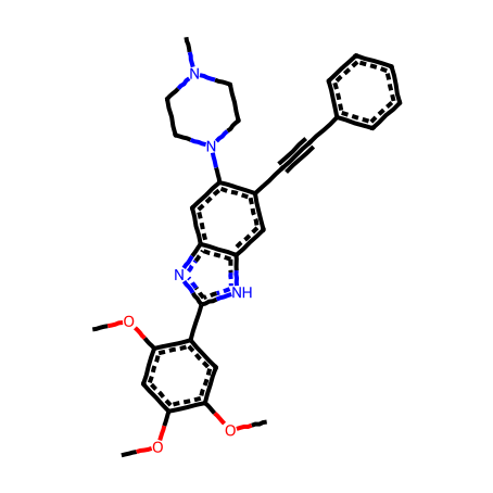 COc1cc(OC)c(-c2nc3cc(N4CCN(C)CC4)c(C#Cc4ccccc4)cc3[nH]2)cc1OC